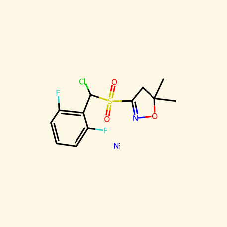 CC1(C)CC(S(=O)(=O)C(Cl)c2c(F)cccc2F)=NO1.[N]